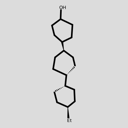 CC[C@H]1CC[C@H]([C@H]2CC[C@H](C3CCC(O)CC3)CC2)CC1